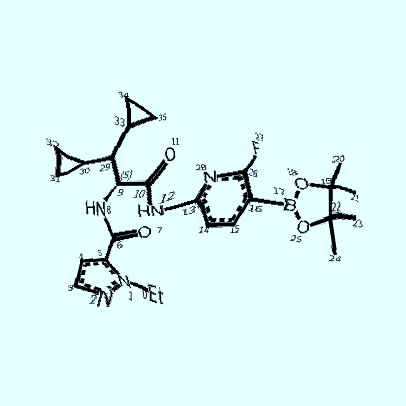 CCn1nccc1C(=O)N[C@H](C(=O)Nc1ccc(B2OC(C)(C)C(C)(C)O2)c(F)n1)C(C1CC1)C1CC1